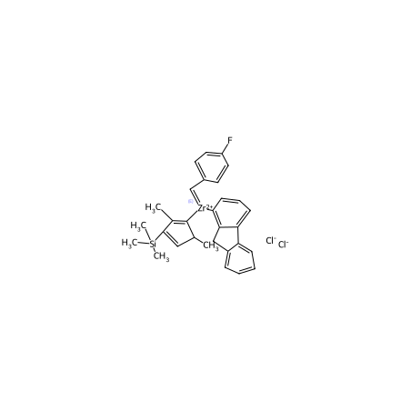 CC1=[C](/[Zr+2](=[CH]/c2ccc(F)cc2)[c]2cccc3c2Cc2ccccc2-3)C(C)C=C1[Si](C)(C)C.[Cl-].[Cl-]